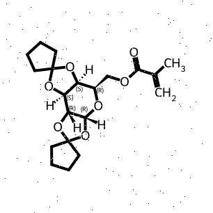 C=C(C)C(=O)OC[C@H]1O[C@@H]2OC3(CCCC3)O[C@@H]2[C@H]2OC3(CCCC3)O[C@H]21